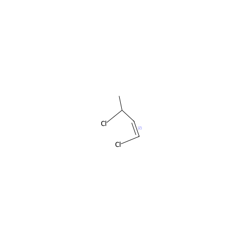 CC(Cl)/C=C\Cl